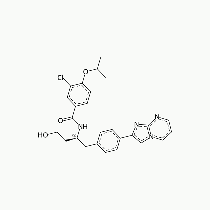 CC(C)Oc1ccc(C(=O)N[C@H](CCO)Cc2ccc(-c3cn4cccnc4n3)cc2)cc1Cl